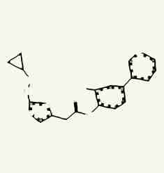 O=C(Cc1csc(NSC2CC2)n1)Nc1ccc(-c2cccnc2)cc1F